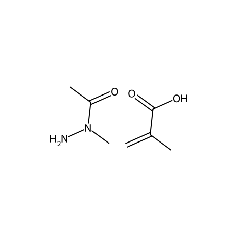 C=C(C)C(=O)O.CC(=O)N(C)N